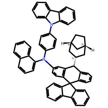 c1ccc2c(c1)-c1ccccc1C21c2ccccc2C([C@@H]2C[C@@H]3CC[C@@H](C3)C2)c2cc(N(c3ccc(-n4c5ccccc5c5ccccc54)cc3)c3cccc4ccccc34)ccc21